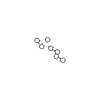 c1ccc(N(c2ccc3c(c2)oc2ccc4c(ccc5oc6ccccc6c54)c23)c2cccc3c2oc2ccccc23)cc1